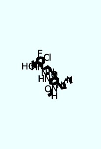 C=CC(=O)Nc1cc(Nc2nccc(Nc3cc(Cl)c(F)cc3C(C)(C)O)n2)c(OC)cc1N1CC[C@@H]1CN(C)C